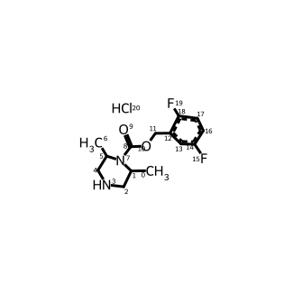 CC1CNCC(C)N1C(=O)OCc1cc(F)ccc1F.Cl